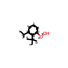 CC(C)c1cccc(OO)c1C(C)(C)C